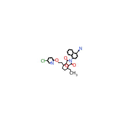 CCC12CCC(CCOc3ccc(Cl)cn3)(O1)C1C(=O)N(c3ccc(C#N)c4ccccc34)C(=O)C12